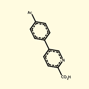 CC(=O)c1ccc(-c2ccc(C(=O)O)nc2)cc1